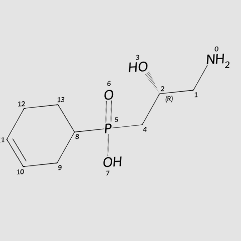 NC[C@@H](O)CP(=O)(O)C1CC=CCC1